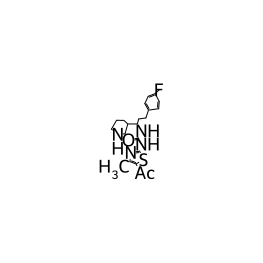 CC(=O)c1sc(NC(=O)NC(CCc2ccc(F)cc2)C2CCCNC2)nc1C